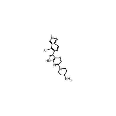 Cn1cc2c(Cl)c(-c3c[nH]c4nc(N5CCC(N)CC5)cnc34)ccc2n1